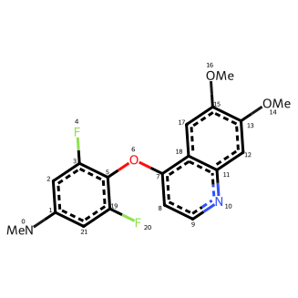 CNc1cc(F)c(Oc2ccnc3cc(OC)c(OC)cc23)c(F)c1